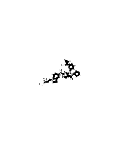 CN(C)CCn1ccc2cc(Nc3ncc4c(=O)n(C5C=CCC5)n(-c5cccc(C6(O)CC6)n5)c4n3)ccc21